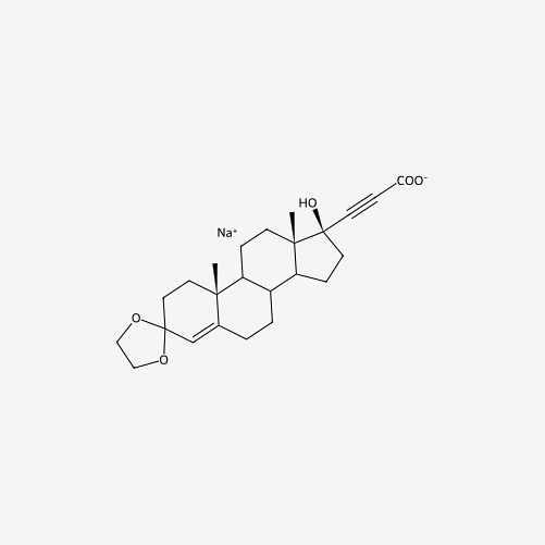 C[C@]12CCC3(C=C1CCC1C2CC[C@@]2(C)C1CC[C@@]2(O)C#CC(=O)[O-])OCCO3.[Na+]